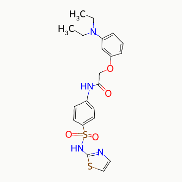 CCN(CC)c1cccc(OCC(=O)Nc2ccc(S(=O)(=O)Nc3nccs3)cc2)c1